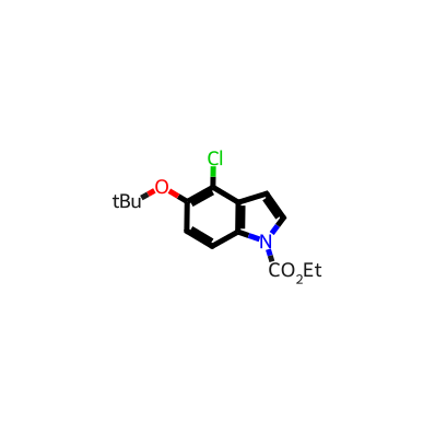 CCOC(=O)n1ccc2c(Cl)c(OC(C)(C)C)ccc21